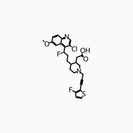 COc1ccc2ncc(Cl)c([C@H](F)CCC3CCN(CC#Cc4sccc4F)CC3CC(=O)O)c2c1